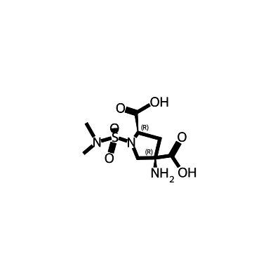 CN(C)S(=O)(=O)N1C[C@@](N)(C(=O)O)C[C@@H]1C(=O)O